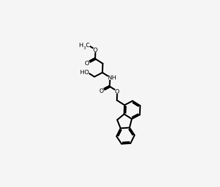 COC(=O)CC(CO)NC(=O)OCc1cccc2c1Cc1ccccc1-2